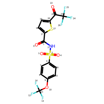 O=C(NS(=O)(=O)c1ccc(OC(F)(F)F)cc1)c1ccc(C(=O)C(F)(F)F)s1